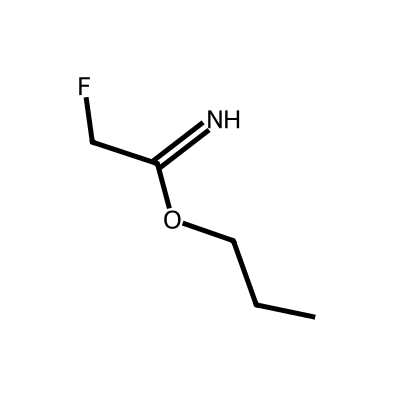 CCCOC(=N)CF